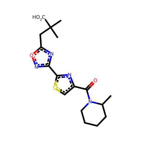 CC1CCCCN1C(=O)c1csc(-c2noc(CC(C)(C)C(=O)O)n2)n1